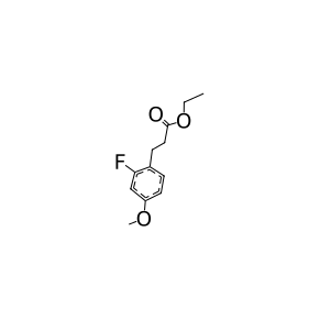 CCOC(=O)CCc1ccc(OC)cc1F